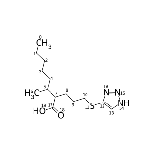 CCCCCC(C)C(CCCSc1c[nH]nn1)C(=O)O